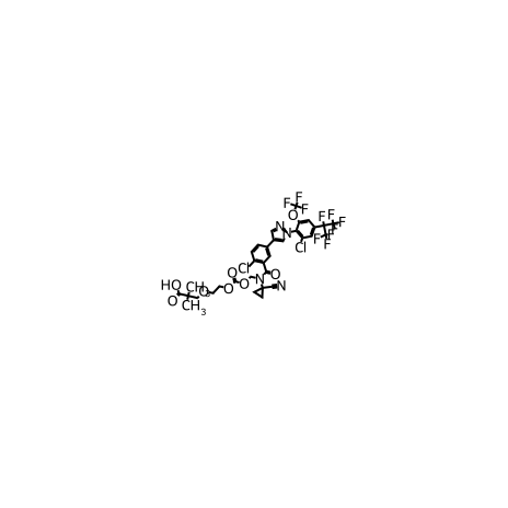 CC(C)(COCCOC(=O)OCN(C(=O)c1cc(-c2cnn(-c3c(Cl)cc(C(F)(C(F)(F)F)C(F)(F)F)cc3OC(F)(F)F)c2)ccc1Cl)C1(C#N)CC1)C(=O)O